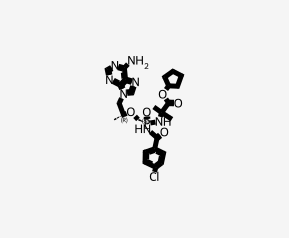 C[C@H](Cn1cnc2c(N)ncnc21)OC[P@@](=O)(NC(=O)c1ccc(Cl)cc1)NC(C)(C)C(=O)OC1CCCC1